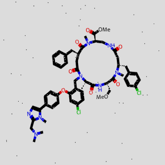 COC[C@@H]1NC(=O)[C@H](C)N(Cc2ccc(Cl)cc2Oc2ccc(-c3cnc(CN(C)C)n3C)cc2)C(=O)C[C@@H](Cc2ccccc2)C(=O)N(C)[C@@H](C(=O)OC)CNC(=O)C[C@H](Cc2ccc(Cl)cc2)N(C)C1=O